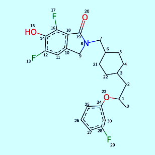 CC(CC1CCC(CN2Cc3cc(F)c(O)c(F)c3C2=O)CC1)Oc1cccc(F)c1